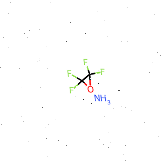 FC1(F)OC1(F)F.N